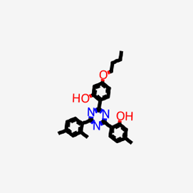 CCCCOc1ccc(-c2nc(-c3ccc(C)cc3C)nc(-c3ccc(C)cc3O)n2)c(O)c1